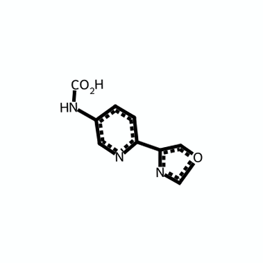 O=C(O)Nc1ccc(-c2cocn2)nc1